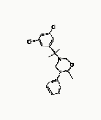 CC1=C(c2ccccc2)CN(C(C)(C)c2cc(Cl)cc(Cl)c2)CO1